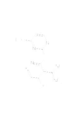 Cc1ccnc(Sc2nncc(O)c2C(=N)N)n1